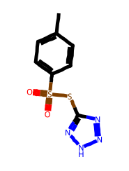 Cc1ccc(S(=O)(=O)Sc2nn[nH]n2)cc1